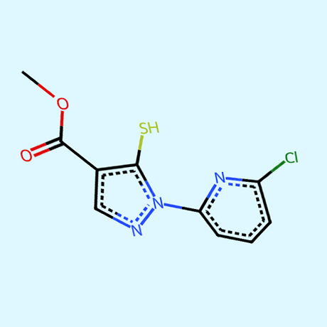 COC(=O)c1cnn(-c2cccc(Cl)n2)c1S